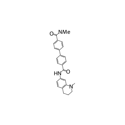 CNC(=O)c1ccc(-c2ccc(C(=O)Nc3ccc4c(c3)N(C)CCC4)cc2)cc1